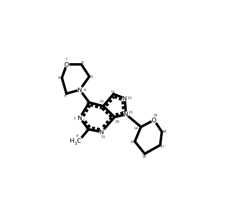 Cc1nc(N2CCOCC2)c2cnn(C3CCCCO3)c2n1